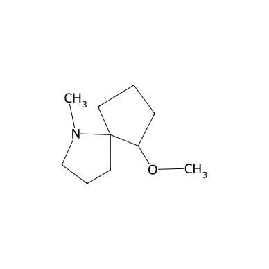 COC1CCCC12CCCN2C